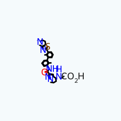 Cc1c(NC(=O)c2cc3n(n2)CCCC3NCC(=O)O)cccc1-c1cccc(-c2nc3c(s2)CCN(C)C3)c1C